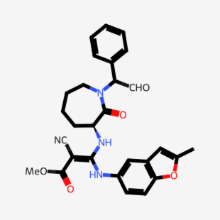 COC(=O)C(C#N)=C(Nc1ccc2oc(C)cc2c1)N[C@H]1CCCCN(C(C=O)c2ccccc2)C1=O